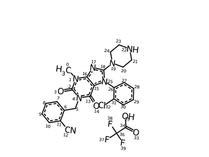 Cn1c(=O)n(Cc2ccccc2C#N)c(=O)c2c1nc(N1CCNCC1)n2-c1ccccc1Cl.O=C(O)C(F)(F)F